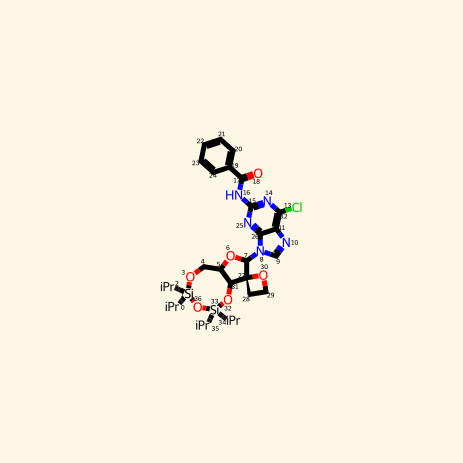 CC(C)[Si]1(C(C)C)OCC2OC(n3cnc4c(Cl)nc(NC(=O)c5ccccc5)nc43)[C@@]3(CCO3)C2O[Si](C(C)C)(C(C)C)O1